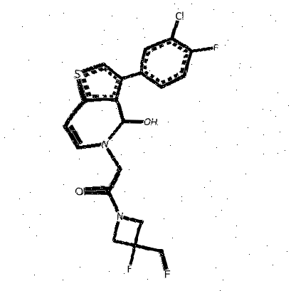 O=C(CN1C=Cc2scc(-c3ccc(F)c(Cl)c3)c2C1O)N1CC(F)(CF)C1